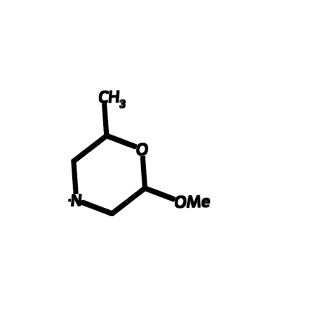 COC1C[N]CC(C)O1